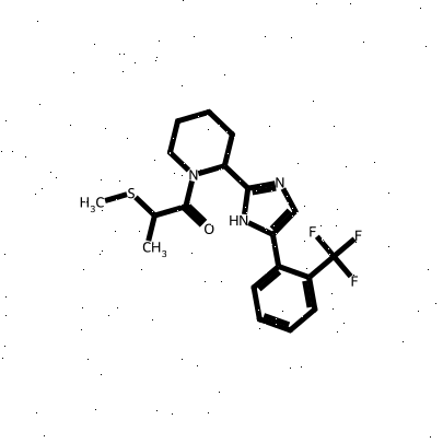 CSC(C)C(=O)N1CCCCC1c1ncc(-c2ccccc2C(F)(F)F)[nH]1